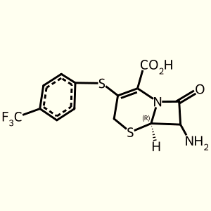 NC1C(=O)N2C(C(=O)O)=C(Sc3ccc(C(F)(F)F)cc3)CS[C@H]12